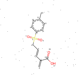 C=C(C=CCS(=O)(=O)c1ccc(C)cc1)C(=O)O